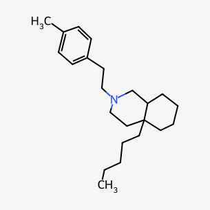 CCCCCC12CCCCC1CN(CCc1ccc(C)cc1)CC2